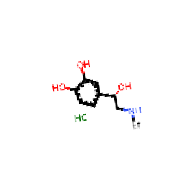 CCNC[C@@H](O)c1ccc(O)c(O)c1.Cl